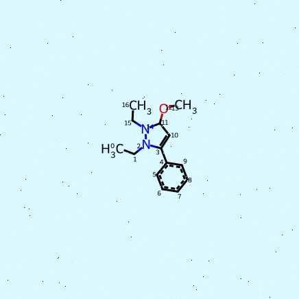 CCN1C(c2ccccc2)=CC(OC)N1CC